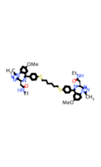 CCNC(=O)C[C@@H]1N=C(c2ccc(SCCCCCCSc3ccc(C4=N[C@@H](CC(=O)NCC)c5nnc(C)n5-c5ccc(OC)cc54)cc3)cc2)c2cc(OC)ccc2-n2c(C)nnc21